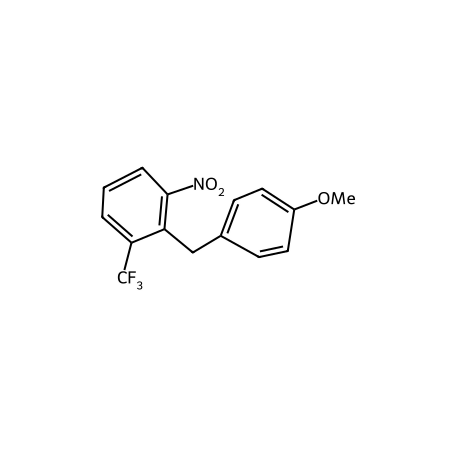 COc1ccc(Cc2c([N+](=O)[O-])cccc2C(F)(F)F)cc1